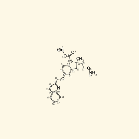 CC(C)(C)OC(=O)N1c2ccc(OCc3ccc4ccccc4n3)cc2CC1(C)CCON